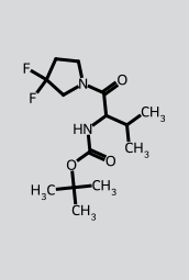 CC(C)C(NC(=O)OC(C)(C)C)C(=O)N1CCC(F)(F)C1